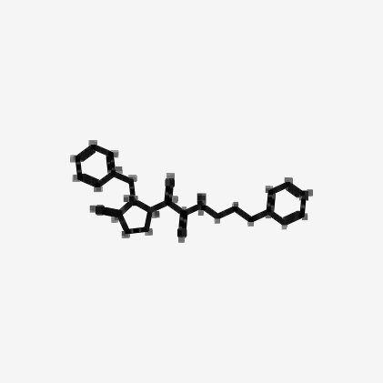 O=C(NCCCc1ccncc1)C(=O)C1CCC(=O)N1Cc1ccccc1